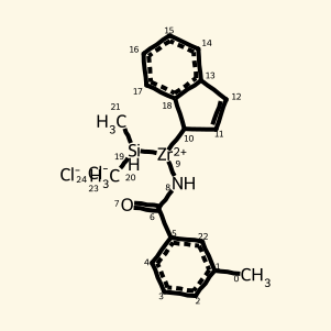 Cc1cccc(C(=O)[NH][Zr+2]([CH]2C=Cc3ccccc32)[SiH](C)C)c1.[Cl-].[Cl-]